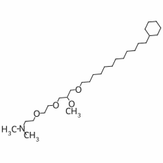 COC(COCCCCCCCCCCCCC1CCCCC1)COCCOCCN(C)C